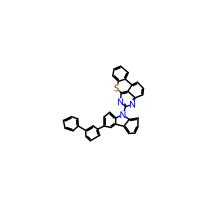 c1ccc(-c2cccc(-c3ccc4c(c3)c3ccccc3n4-c3nc4c5c(cccc5n3)-c3ccccc3S4)c2)cc1